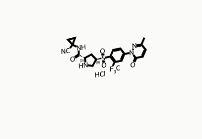 Cc1ccc(=O)n(-c2ccc(S(=O)(=O)[C@H]3CN[C@H](C(=O)NC4(C#N)CC4)C3)c(C(F)(F)F)c2)n1.Cl